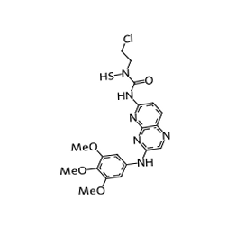 COc1cc(Nc2cnc3ccc(NC(=O)N(S)CCCl)nc3n2)cc(OC)c1OC